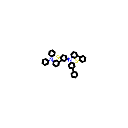 c1ccc(-c2ccc(N(c3ccc4sc5c(N(c6ccccc6)c6ccccc6)cccc5c4c3)c3cccc4c3sc3ccccc34)cc2)cc1